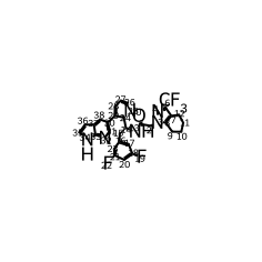 O=C(Cn1nc(C(F)(F)F)c2c1CCCC2)N[C@@H](Cc1cc(F)cc(F)c1)c1ncccc1-c1cnc2[nH]ccc2c1